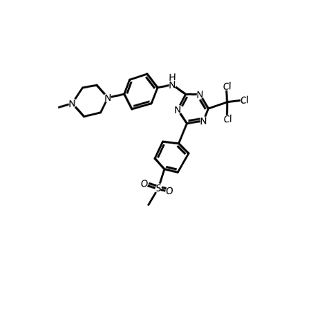 CN1CCN(c2ccc(Nc3nc(-c4ccc(S(C)(=O)=O)cc4)nc(C(Cl)(Cl)Cl)n3)cc2)CC1